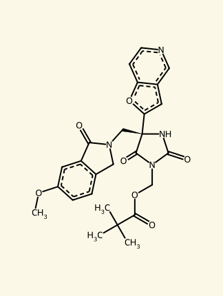 COc1ccc2c(c1)C(=O)N(C[C@@]1(c3cc4cnccc4o3)NC(=O)N(COC(=O)C(C)(C)C)C1=O)C2